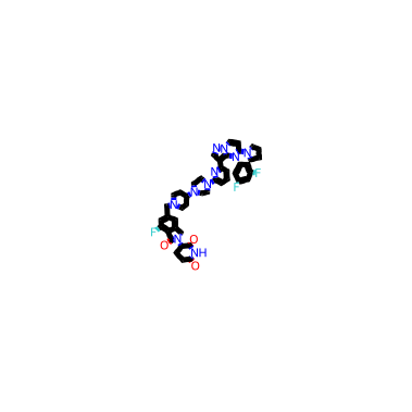 O=C1CCC(N2Cc3cc(CN4CCC(N5CCN(c6cccc(-c7cnn8ccc(N9CCC[C@@H]9c9ccc(F)cc9F)nc78)n6)CC5)CC4)cc(F)c3C2=O)C(=O)N1